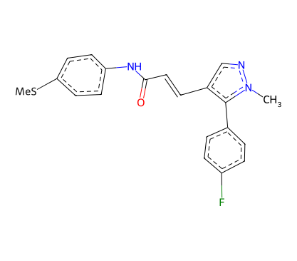 CSc1ccc(NC(=O)C=Cc2cnn(C)c2-c2ccc(F)cc2)cc1